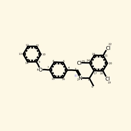 CC(/N=C/c1ccc(Oc2ccccc2)cc1)c1c(Cl)cc(Cl)cc1Cl